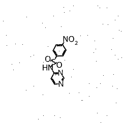 O=[N+]([O-])c1ccc(S(=O)(=O)Nc2ccncn2)cc1